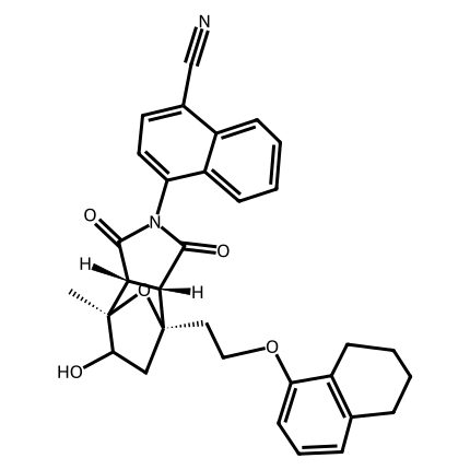 C[C@]12O[C@](CCOc3cccc4c3CCCC4)(CC1O)[C@H]1C(=O)N(c3ccc(C#N)c4ccccc34)C(=O)[C@H]12